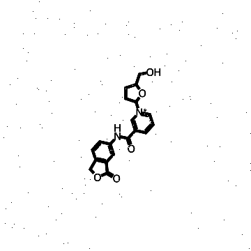 O=C(Nc1ccc2c(c1)C(=O)OC2)c1ccc[n+](C2CCC(CO)O2)c1